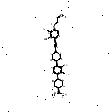 C=CCOc1ccc(C#CC2CCC(c3ccc(C4CCC(C(C)O)CC4)c(F)c3F)CC2)c(F)c1F